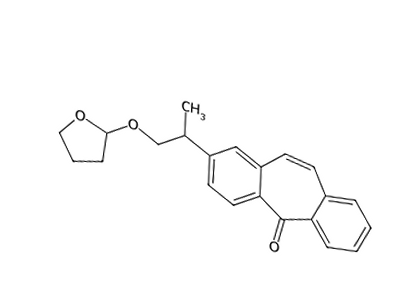 CC(COC1CCCO1)c1ccc2c(=O)c3ccccc3ccc2c1